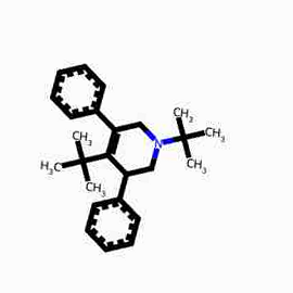 CC(C)(C)C1=C(c2ccccc2)CN(C(C)(C)C)CC1c1ccccc1